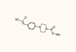 CC(C)(C)OC(=O)N1CCN(c2ccc(/C=C(\Cl)C#N)cc2)CC1